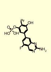 CC(C)c1c(O)cc(-c2cc(F)c3cnc(N)nc3c2)cc1OP(=O)(O)O